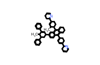 CC1C=C(C2=NC=CCC2)CCC1c1c2c(c(C3=CC=C(C4CC=CC=N4)CC3)c3ccc(C4C=C(c5ccccc5)C(C)C(c5ccccc5)C4)cc13)=CCCC=2